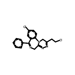 ClCCC1=NN=C2CN=C(c3ccccc3)c3cc(Cl)ccc3N2C1